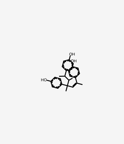 CC(=CC(C)(c1ccc(O)cc1)C(C)C(C)c1ccc(O)cc1)c1ccc(O)cc1